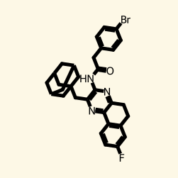 O=C(Cc1ccc(Br)cc1)Nc1nc2c(nc1CC13CC4CC(CC(C4)C1)C3)-c1ccc(F)cc1CC2